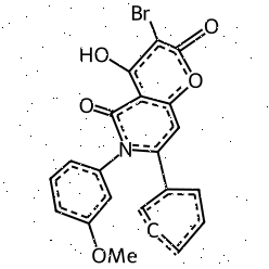 COc1cccc(-n2c(-c3ccccc3)cc3oc(=O)c(Br)c(O)c3c2=O)c1